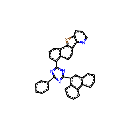 c1ccc(-c2nc(-c3cc4ccccc4c4ccccc34)nc(-c3cccc4c3ccc3c5ncccc5sc43)n2)cc1